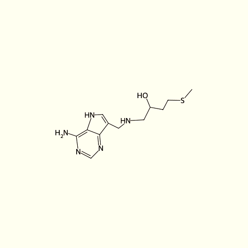 CSCCC(O)CNCc1c[nH]c2c(N)ncnc12